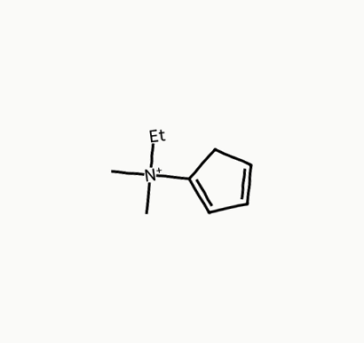 CC[N+](C)(C)C1=CC=CC1